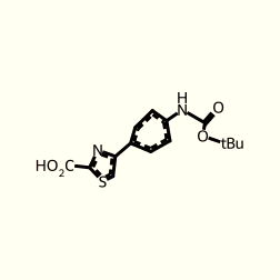 CC(C)(C)OC(=O)Nc1ccc(-c2csc(C(=O)O)n2)cc1